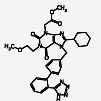 COCCn1c(=O)c2c(nc(C3CCCCC3)n2Cc2ccc(-c3ccccc3-c3nnn[nH]3)cc2)n(CC(=O)OC)c1=O